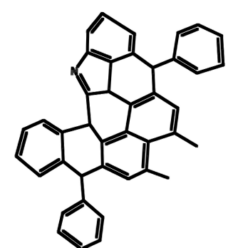 Cc1cc2c3c4c5c(cc(C)c14)C(c1ccccc1)c1cccc4c1C5C(=N4)C3c1ccccc1C2c1ccccc1